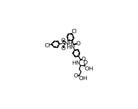 O=C(O)CCC(NC(=O)c1ccc(NC(=O)c2cc(Cl)ccc2NS(=O)(=O)c2ccc(Cl)cc2)cc1)C(=O)O